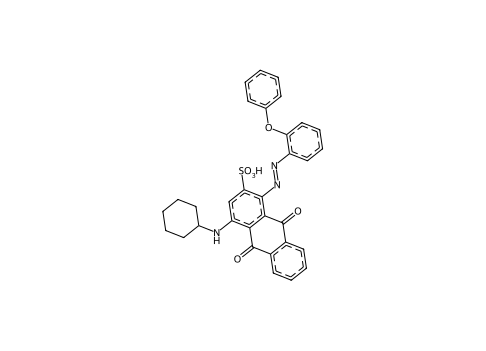 O=C1c2ccccc2C(=O)c2c(N=Nc3ccccc3Oc3ccccc3)c(S(=O)(=O)O)cc(NC3CCCCC3)c21